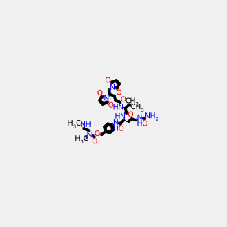 CNCCN(C)C(=O)OCc1ccc(NC(=O)[C@H](CCCNC(N)=O)NC(=O)[C@@H](NC(=O)CCC(CN2C(=O)C=CC2=O)N2C(=O)C=CC2=O)C(C)C)cc1